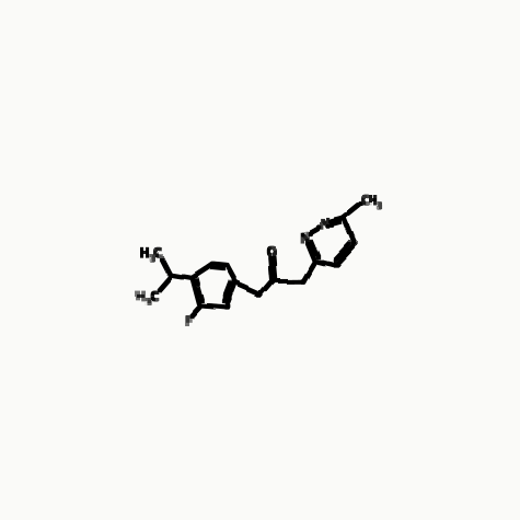 Cc1ccc(CC(=O)Cc2ccc(C(C)C)c(F)c2)nn1